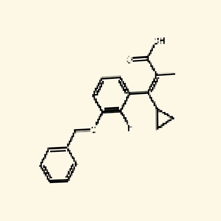 C/C(C(=O)O)=C(/c1cccc(OCc2ccccc2)c1F)C1CC1